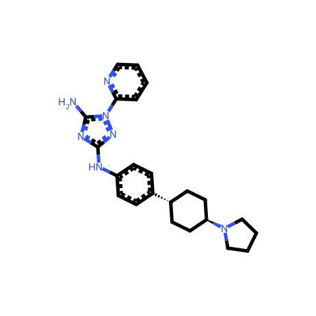 Nc1nc(Nc2ccc([C@H]3CC[C@H](N4CCCC4)CC3)cc2)nn1-c1ccccn1